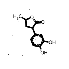 CC1CC(c2ccc(O)c(O)c2)C(=O)O1